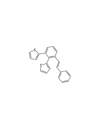 C(=Cc1cccc(-c2cccs2)c1-c1cccs1)c1ccccc1